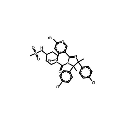 CCOc1cc(C(C)(C)C)ncc1C1=NC(C)(c2ccc(Cl)cc2)C(C)(c2ccc(Cl)cc2)N1C(=O)N1CCC(NS(C)(=O)=O)CC1